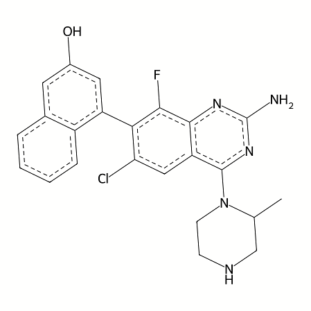 CC1CNCCN1c1nc(N)nc2c(F)c(-c3cc(O)cc4ccccc34)c(Cl)cc12